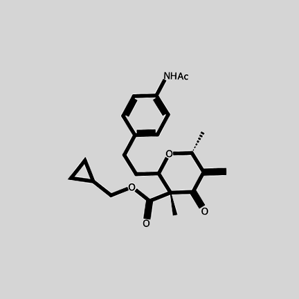 C=C1C(=O)[C@](C)(C(=O)OCC2CC2)C(CCc2ccc(NC(C)=O)cc2)O[C@@H]1C